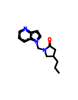 CCCC1CC(=O)N(Cn2ccc3ncccc32)C1